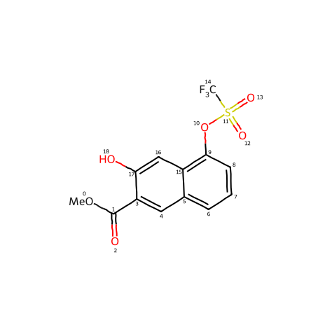 COC(=O)c1cc2cccc(OS(=O)(=O)C(F)(F)F)c2cc1O